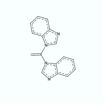 C=C(n1cnc2ccccc21)n1cnc2ccccc21